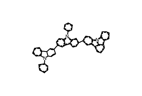 C1=CC2C(C=C1c1ccc3c(c1)c1ccc(-c4ccc5c(c4)c4cccc6c7ccccc7n5c64)cc1n3-c1ccccc1)c1ccccc1N2c1ccccc1